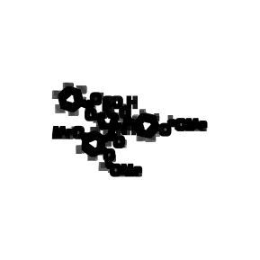 COCOc1ccc(C(=O)NC2(C(=O)c3cc(OC)ccc3OCOC)CC(OC(=O)c3ccccc3)N(C(=O)O)C2)cc1